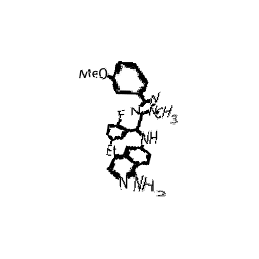 CCc1ccc(F)c(C(Nc2ccc3c(N)nccc3c2)c2nc(-c3cccc(OC)c3)nn2C)c1